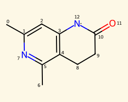 Cc1cc2c(c(C)n1)CCC(=O)[N]2